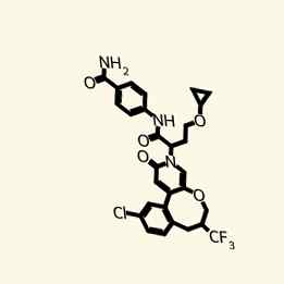 NC(=O)c1ccc(NC(=O)C(CCOC2CC2)n2cc3c(cc2=O)-c2cc(Cl)ccc2CC(C(F)(F)F)CO3)cc1